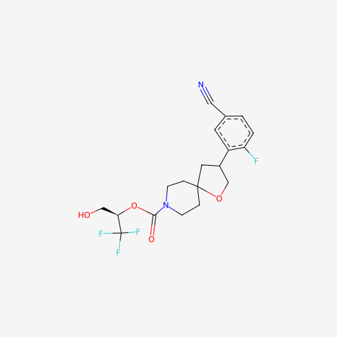 N#Cc1ccc(F)c(C2COC3(CCN(C(=O)O[C@H](CO)C(F)(F)F)CC3)C2)c1